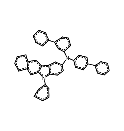 c1ccc(-c2ccc(N(c3cccc(-c4ccccc4)c3)c3ccc4c(c3)c3cc5ccccc5cc3n4-c3ccccc3)cc2)cc1